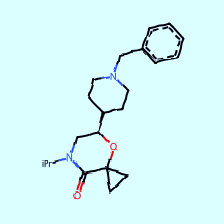 CC(C)N1C[C@@H](C2CCN(Cc3ccccc3)CC2)OC2(CC2)C1=O